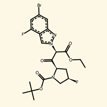 CCOC(=O)[C@@H](C(=O)[C@H]1C[C@@H](F)CN1C(=O)OC(C)(C)C)n1cc2c(F)cc(Br)cc2n1